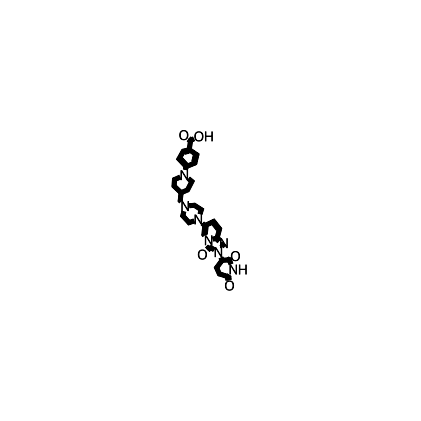 O=C1CCC(n2nc3ccc(N4CCN(CC5CCN(c6ccc(C(=O)O)cc6)CC5)CC4)cn3c2=O)C(=O)N1